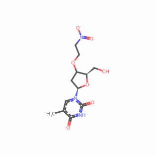 Cc1cn([C@H]2CC(OCC[N+](=O)[O-])[C@@H](CO)O2)c(=O)[nH]c1=O